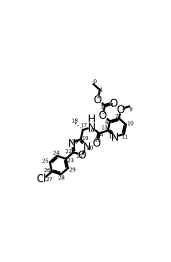 CCOC(=O)Oc1c(OC)ccnc1C(=O)N[C@@H](C)c1noc(-c2ccc(Cl)cc2)n1